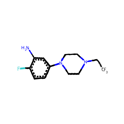 Nc1cc(N2CCN(CC(F)(F)F)CC2)ccc1F